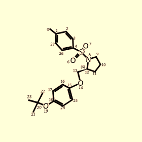 Cc1ccc(S(=O)(=O)N2CCC[C@H]2COc2ccc(OC(C)(C)C)cc2)cc1